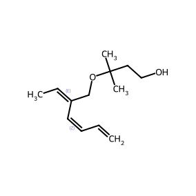 C=C/C=C\C(=C/C)COC(C)(C)CCO